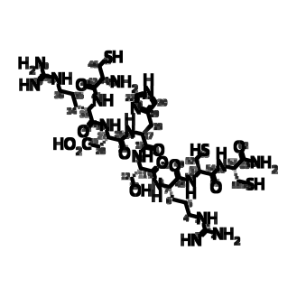 N=C(N)NCCC[C@H](NC(=O)[C@H](CO)NC(=O)[C@H](Cc1c[nH]cn1)NC(=O)[C@H](CC(=O)O)NC(=O)[C@H](CCCNC(=N)N)NC(=O)[C@@H](N)CS)C(=O)N[C@@H](CS)C(=O)N[C@@H](CS)C(N)=O